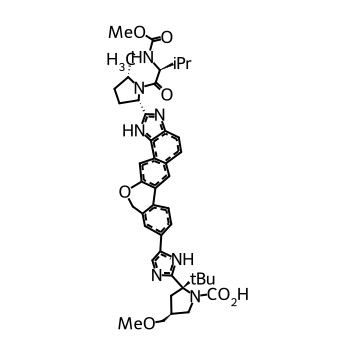 COC[C@@H]1CN(C(=O)O)[C@](c2ncc(-c3ccc4c(c3)COc3cc5c(ccc6nc([C@@H]7CC[C@H](C)N7C(=O)[C@@H](NC(=O)OC)C(C)C)[nH]c65)cc3-4)[nH]2)(C(C)(C)C)C1